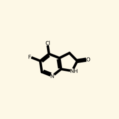 O=C1Cc2c(ncc(F)c2Cl)N1